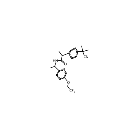 CC(NC(=O)C(C)c1ccc(C(C)(C)C#N)cc1)c1ccc(OCC(F)(F)F)cn1